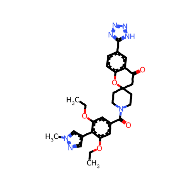 CCOc1cc(C(=O)N2CCC3(CC2)CC(=O)c2cc(-c4nnn[nH]4)ccc2O3)cc(OCC)c1-c1cnn(C)c1